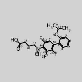 CC(C)Oc1ccccc1-c1cc(F)c(N(C)CCCC(=O)O)c(F)c1F